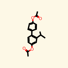 CC(=O)Oc1ccc(-c2ccc(OC(C)=O)cc2C(C)C)cc1